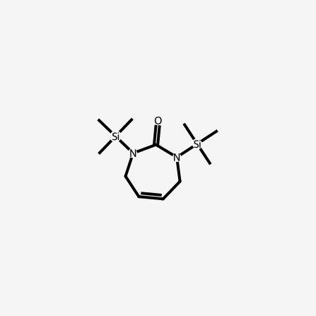 C[Si](C)(C)N1CC=CCN([Si](C)(C)C)C1=O